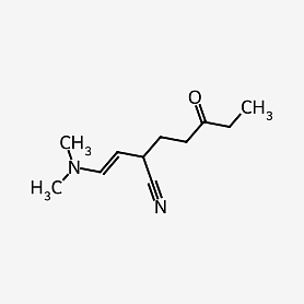 CCC(=O)CCC(C#N)C=CN(C)C